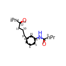 CCCC(=O)Nc1cccc(CCCC(=O)C(C)C)c1